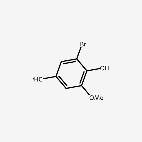 [CH]c1cc(Br)c(O)c(OC)c1